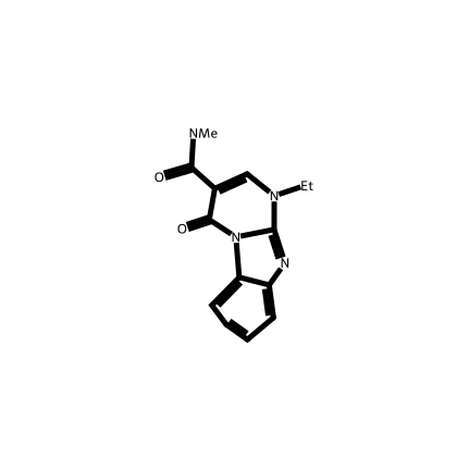 CCn1cc(C(=O)NC)c(=O)n2c3ccccc3nc12